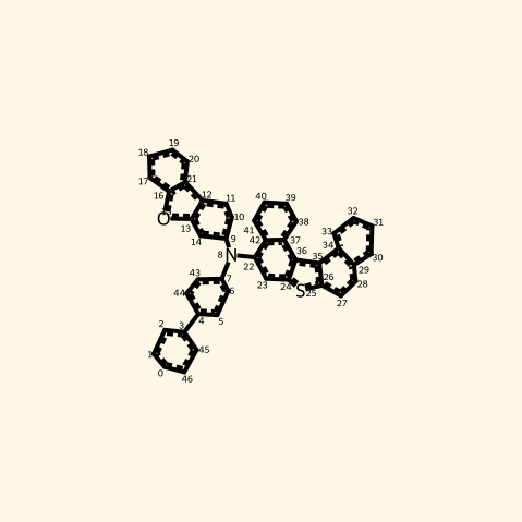 c1ccc(-c2ccc(N(c3ccc4c(c3)oc3ccccc34)c3cc4sc5ccc6ccccc6c5c4c4ccccc34)cc2)cc1